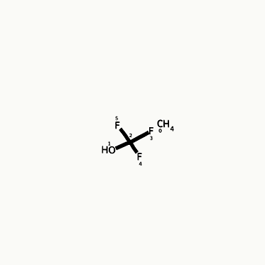 C.OC(F)(F)F